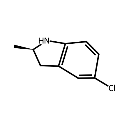 C[C@@H]1Cc2cc(Cl)ccc2N1